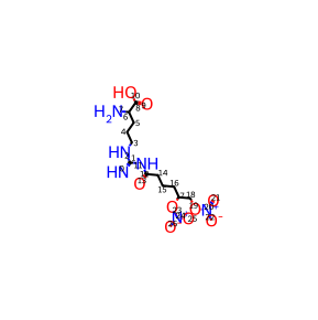 N=C(NCCCC(N)C(=O)O)NC(=O)CCCC(CO[N+](=O)[O-])O[N+](=O)[O-]